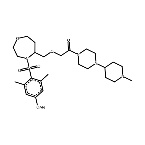 COc1cc(C)c(S(=O)(=O)N2CCOCCC2COCC(=O)N2CCN(C3CCN(C)CC3)CC2)c(C)c1